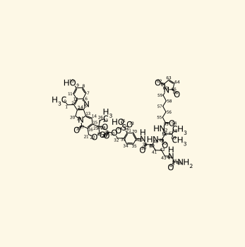 CCc1c2c(nc3ccc(O)cc13)-c1cc3c(c(=O)n1C2)COC(=O)[C@@]3(CC)OC(=O)OCc1ccc(NC(=O)[C@H](CCCNC(N)=O)NC(=O)[C@@H](NC(=O)CCCCCN2C(=O)C=CC2=O)C(C)C)cc1S(=O)(=O)O